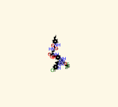 CCc1ccc(NC(=O)C(=O)NCC[C@H](NC(=O)c2ccc(Nc3nc(NC4(c5ccc(Cl)cc5)CC4)nc(OCC(F)(F)F)n3)cc2)C(=O)O)cc1